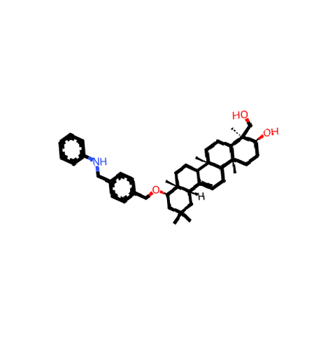 CC1(C)C[C@@H](OCc2ccc(CNc3ccccc3)cc2)[C@]2(C)CCC3C(=CCC4[C@@]3(C)CCC3[C@]4(C)CC[C@H](O)[C@]3(C)CO)[C@@H]2C1